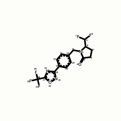 O=C1CCC(C(F)F)N1Cc1ccc(-c2noc(C(F)(F)F)n2)cc1